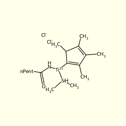 CCCCCC(=O)[NH][Ti+2]([C]1=C(C)C(C)=C(C)C1C)[SiH](C)C.[Cl-].[Cl-]